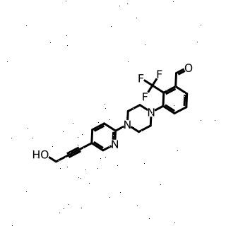 O=Cc1cccc(N2CCN(c3ccc(C#CCO)cn3)CC2)c1C(F)(F)F